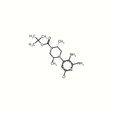 C[C@@H]1CN(c2cc(Cl)nc(N)c2N)[C@@H](C)CN1C(=O)OC(C)(C)C